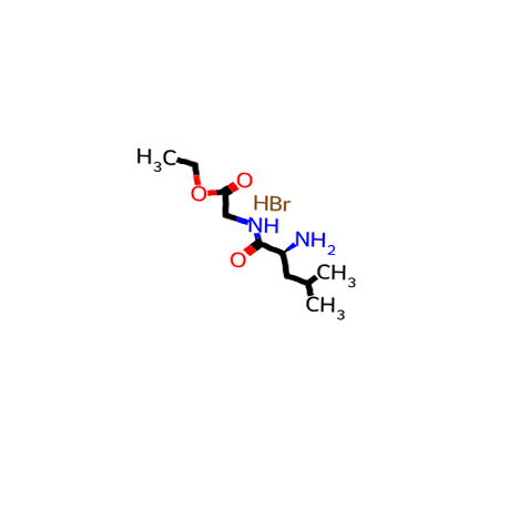 Br.CCOC(=O)CNC(=O)[C@@H](N)CC(C)C